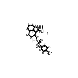 Cc1[nH]c2cccc3c2c1C(CNS(=O)(=O)c1ccc(Br)cc1)CC3